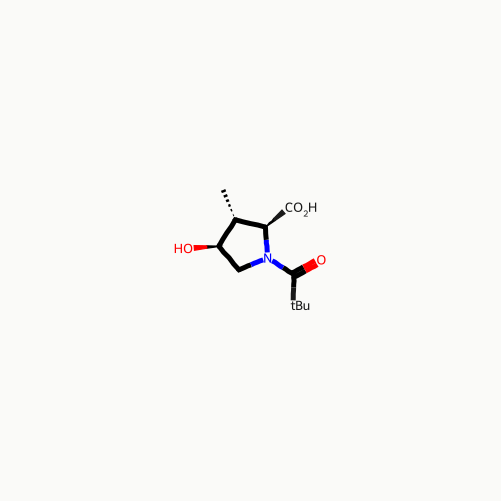 C[C@H]1[C@H](O)CN(C(=O)C(C)(C)C)[C@@H]1C(=O)O